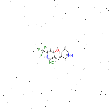 Cl.FC(F)(F)c1cc(OC2CCNCC2)ccn1